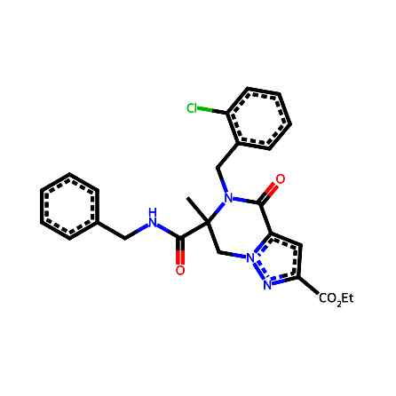 CCOC(=O)c1cc2n(n1)CC(C)(C(=O)NCc1ccccc1)N(Cc1ccccc1Cl)C2=O